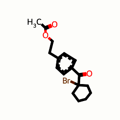 CC(=O)OCCc1ccc(C(=O)C2(Br)CCCCC2)cc1